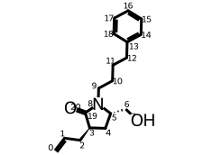 C=CC[C@@H]1C[C@@H](CO)N(CCCCc2ccccc2)C1=O